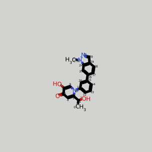 CC(O)c1cc(=O)c(O)cn1-c1cccc(-c2ccc3cnn(C)c3c2)c1